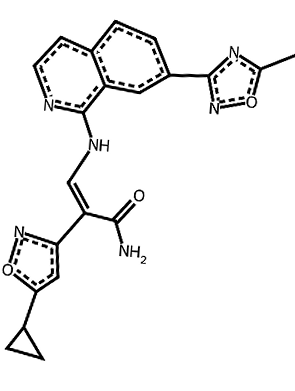 Cc1nc(-c2ccc3ccnc(NC=C(C(N)=O)c4cc(C5CC5)on4)c3c2)no1